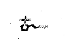 CS(=O)(=O)n1cccc1/C=C/C(=O)O